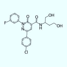 O=C(NC(CO)CCO)c1cc(-c2ccc(Cl)cc2)nn(-c2cccc(F)c2)c1=O